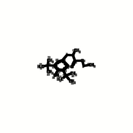 CCOC(=O)C(C)Cc1cc(C(C)(C)C)c(O)c(C(C)(C)C)c1